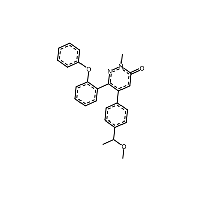 COC(C)c1ccc(-c2cc(=O)n(C)nc2-c2ccccc2Oc2ccccc2)cc1